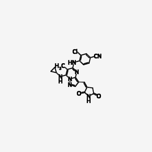 Cc1c(Nc2ccc(C#N)cc2Cl)nc2c(C=C3CC(=O)NC3=O)cnn2c1NC1CC1